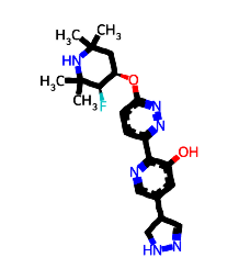 CC1(C)C[C@@H](Oc2ccc(-c3ncc(C4C=NNC4)cc3O)nn2)[C@@H](F)C(C)(C)N1